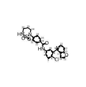 O=C(Nc1ccc(Cl)c(-c2nccc3occc23)c1)c1ccc(N2CCCNS2(=O)=O)cc1